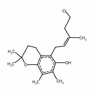 CC(=CCc1c(O)c(C)c(C)c2c1CCC(C)(C)O2)CCCl